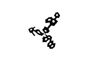 Cc1cccc(C)c1-c1ccc(N(c2ccc(-c3ccc(-c4ccccc4)c4ccccc34)cc2)c2ccc(-c3ccc4ccccc4c3)c3ccccc23)cc1